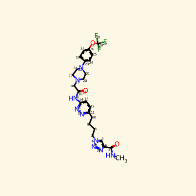 CNC(=O)c1cn(CCCCc2ccc(NC(=O)CN3CCN(c4ccc(OC(F)(F)F)cc4)CC3)nn2)nn1